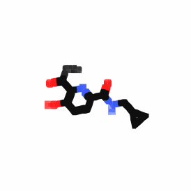 COC(=O)c1nc(C(=O)NCC2CC2)ccc1O